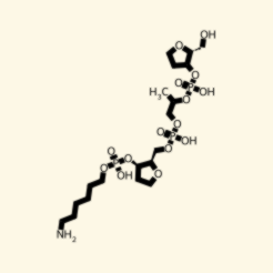 CC(COP(=O)(O)OC[C@H]1OCC[C@H]1OP(=O)(O)OCCCCCCN)OP(=O)(O)OC1CCO[C@@H]1CO